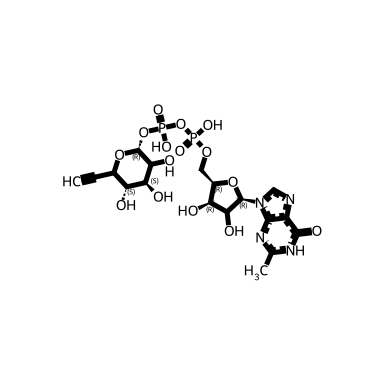 C#CC1O[C@H](OP(=O)(O)OP(=O)(O)OC[C@H]2O[C@@H](n3cnc4c(=O)[nH]c(C)nc43)C(O)[C@H]2O)C(O)[C@@H](O)[C@@H]1O